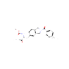 COC(=O)[C@H](Cc1ccc2c(c1)CN(C(=O)c1ccc(C#N)cc1)C2)NC(=O)OC(C)(C)C